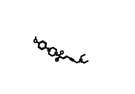 CCN(CC)CC#CC=CS(=O)(=O)N1CCN(c2ccc(OC)cc2)CC1